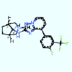 CN1C[C@H]2CC[C@@H](C1)[C@@H]2Nc1nc2c(-c3ccc(F)c(C(F)(F)F)c3)cccn2n1